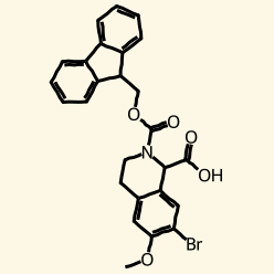 COc1cc2c(cc1Br)C(C(=O)O)N(C(=O)OCC1c3ccccc3-c3ccccc31)CC2